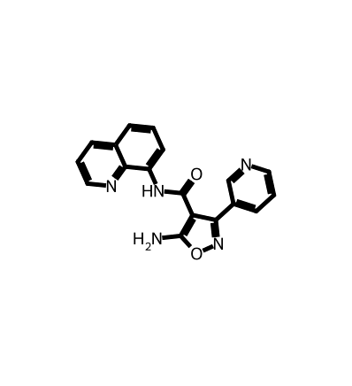 Nc1onc(-c2cccnc2)c1C(=O)Nc1cccc2cccnc12